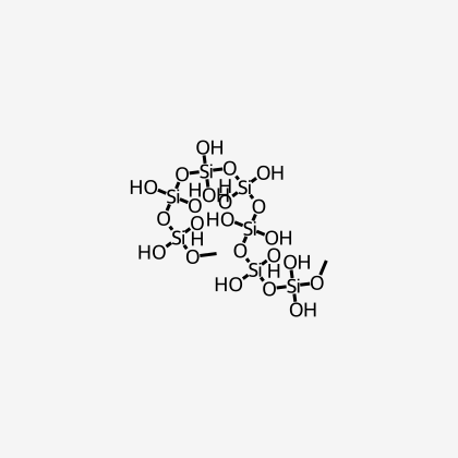 CO[Si](O)(O)O[Si](O)(O)O[Si](O)(O)O[Si](O)(O)O[Si](O)(O)O[Si](O)(O)O[Si](O)(O)OC